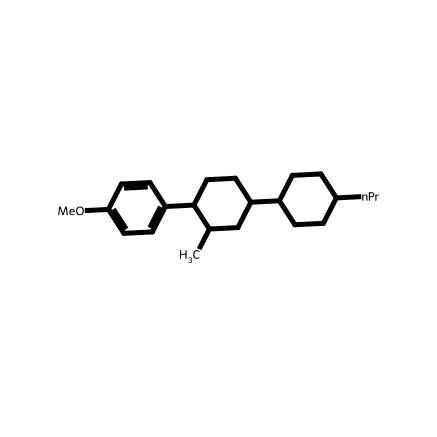 CCCC1CCC(C2CCC(c3ccc(OC)cc3)C(C)C2)CC1